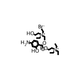 CC[N+](CC)(CC)CCO.CC[N+](CC)(CC)CCO.Nc1ccc(C(=O)[O-])c(O)c1.[Br-]